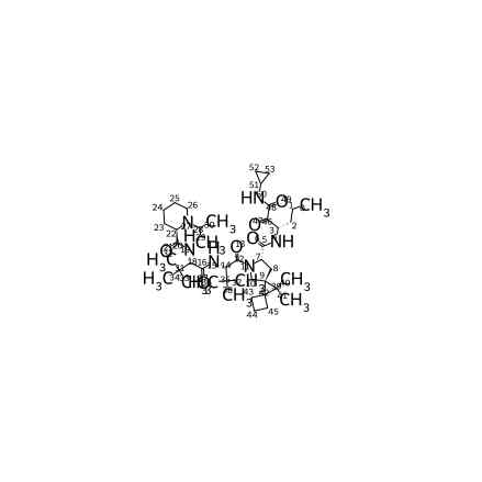 CCC[C@H](NC(=O)[C@@H]1C[C@@]2(CN1C(=O)[C@@H](NC(=O)[C@@H](NC(=O)[C@H]1CCCCN1C(C)C)C(C)(C)C)C(C)(C)C)C(C)(C)C21CCC1)C(=O)C(=O)NC1CC1